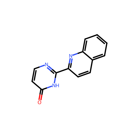 O=c1ccnc(-c2ccc3ccccc3n2)[nH]1